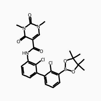 Cn1cc(C(=O)Nc2cccc(-c3cccc(B4OC(C)(C)C(C)(C)O4)c3Cl)c2Cl)c(=O)n(C)c1=O